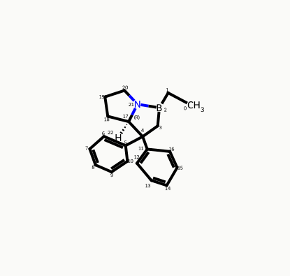 CCB1CC(c2ccccc2)(c2ccccc2)[C@H]2CCCN12